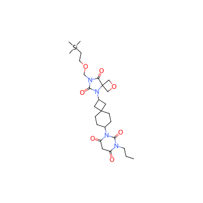 CCCN1C(=O)CC(=O)N(C2CCC3(CC2)CC(N2C(=O)N(COCC[Si](C)(C)C)C(=O)C24COC4)C3)C1=O